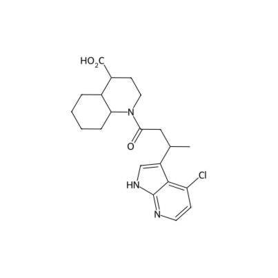 CC(CC(=O)N1CCC(C(=O)O)C2CCCCC21)c1c[nH]c2nccc(Cl)c12